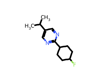 CC(C)c1cnc(C2CCC(F)CC2)nc1